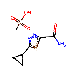 CS(=O)(=O)O.NC(=O)c1nnc(C2CC2)s1